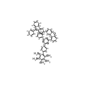 Bc1c(B)c(B)c(-c2ccc(-c3nc(-c4ccccc4)nc(-c4cccc5oc6ccc(-c7ccc8c(c7)c7ccccc7n8-c7ccccc7)cc6c45)n3)cc2)c(B)c1B